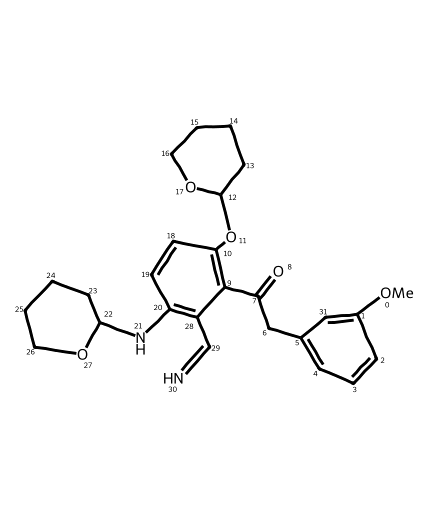 COc1cccc(CC(=O)c2c(OC3CCCCO3)ccc(NC3CCCCO3)c2C=N)c1